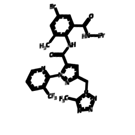 Cc1cc(Br)cc(C(=O)NC(C)C)c1NC(=O)c1cc(Cn2nnnc2C(F)(F)F)nn1-c1ncccc1C(F)(F)F